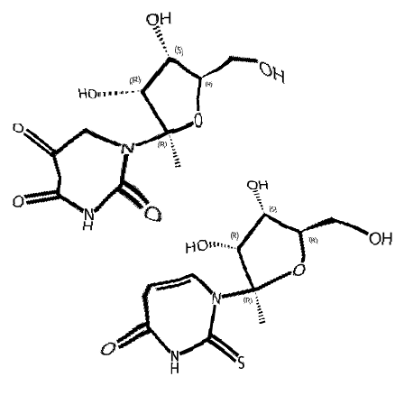 C[C@@]1(N2CC(=O)C(=O)NC2=O)O[C@H](CO)[C@@H](O)[C@H]1O.C[C@@]1(n2ccc(=O)[nH]c2=S)O[C@H](CO)[C@@H](O)[C@H]1O